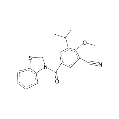 COc1c(C#N)cc(C(=O)N2CSc3ccccc32)cc1C(C)C